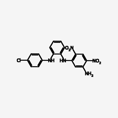 Nc1cc(Nc2ccccc2Nc2ccc(Cl)cc2)c([N+](=O)[O-])cc1[N+](=O)[O-]